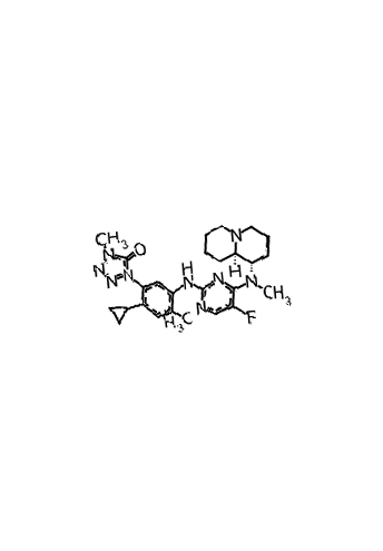 Cc1cc(C2CC2)c(-n2nnn(C)c2=O)cc1Nc1ncc(F)c(N(C)[C@H]2CCCN3CCCC[C@H]23)n1